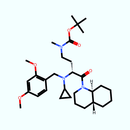 COc1ccc(CN(C2CC2)[C@H](CCN(C)C(=O)OC(C)(C)C)C(=O)N2CCC[C@H]3CCCC[C@@H]32)c(OC)c1